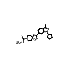 Cc1nn(C2CCCC2)c2cc(C3=NOC4(CCN(C(=O)OC(C)(C)C)CC4)C3)ccc12